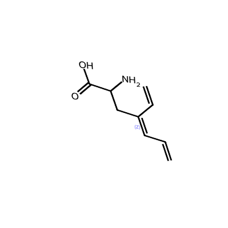 C=C/C=C(\C=C)CC(N)C(=O)O